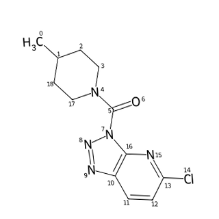 CC1CCN(C(=O)n2nnc3ccc(Cl)nc32)CC1